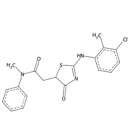 Cc1c(Cl)cccc1NC1=NC(=O)C(CC(=O)N(C)c2ccccc2)S1